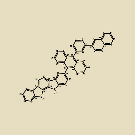 c1cc(-c2ccc3ccccc3c2)cc(-c2c3ccccc3c(-c3ccc4sc5c(ccc6c7ccccc7sc65)c4c3)c3ccccc23)c1